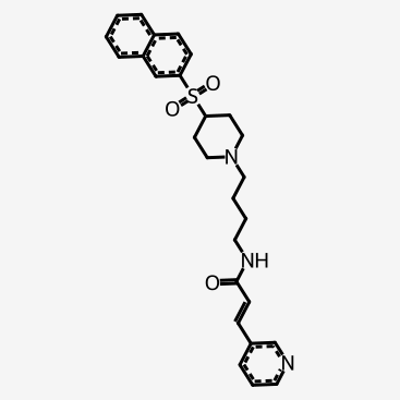 O=C(C=Cc1cccnc1)NCCCCN1CCC(S(=O)(=O)c2ccc3ccccc3c2)CC1